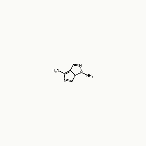 Nc1ncn2c1cnn2N